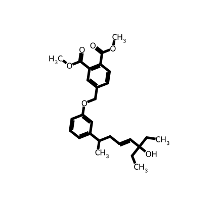 CCC(O)(/C=C/CC(C)c1cccc(OCc2ccc(C(=O)OC)c(C(=O)OC)c2)c1)CC